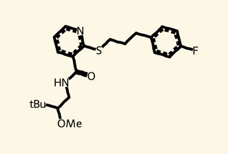 COC(CNC(=O)c1cccnc1SCCCc1ccc(F)cc1)C(C)(C)C